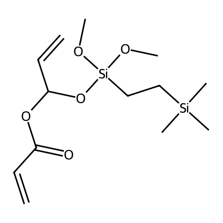 C=CC(=O)OC(C=C)O[Si](CC[Si](C)(C)C)(OC)OC